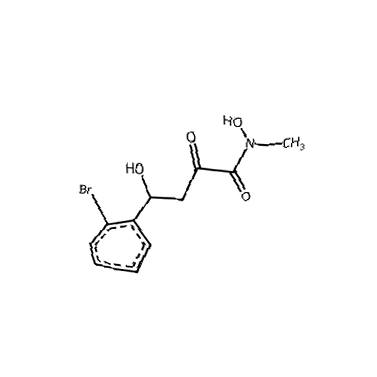 CN(O)C(=O)C(=O)CC(O)c1ccccc1Br